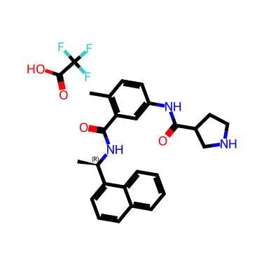 Cc1ccc(NC(=O)C2CCNC2)cc1C(=O)N[C@H](C)c1cccc2ccccc12.O=C(O)C(F)(F)F